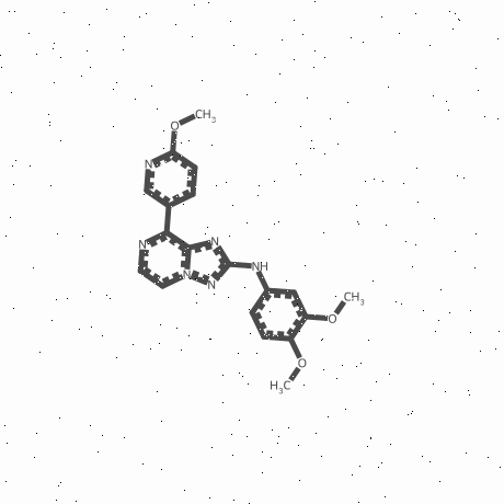 COc1ccc(-c2nccn3nc(Nc4ccc(OC)c(OC)c4)nc23)cn1